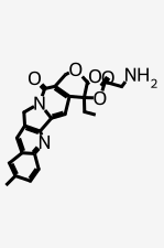 CCC1(OC(=O)CN)C(=O)OCc2c1cc1n(c2=O)Cc2cc3cc(C)ccc3nc2-1